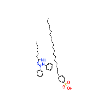 CCCCCCC1=NN(c2ccccc2)N(c2ccccc2)N1.CCCCCCCCCCCCCCCCCCc1ccc(S(=O)(=O)O)cc1